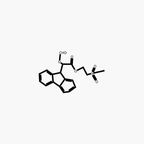 CS(=O)(=O)CCOC(=O)C(O[C]=O)C1c2ccccc2-c2ccccc21